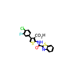 O=C(Nc1scc(-c2ccc(Cl)c(F)c2)c1C(=O)O)c1nc2ccccc2s1